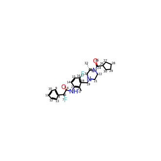 Cc1c(NC(=O)C(F)c2ccccc2)ccc(F)c1CN1CCN(C(=O)C2CCCC2)[C@@H](C)C1